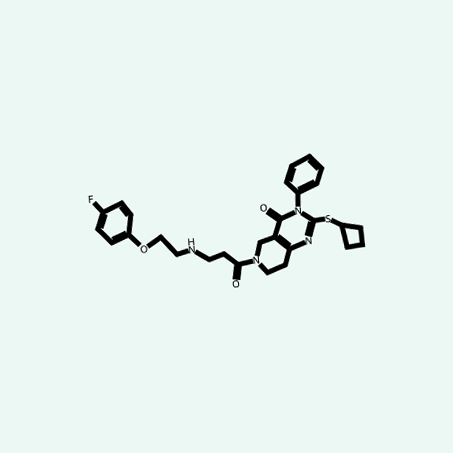 O=C(CCNCCOc1ccc(F)cc1)N1CCc2nc(SC3CCC3)n(-c3ccccc3)c(=O)c2C1